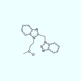 C[S+]([O-])CCn1c(Cn2nnc3ccccc32)nc2ccccc21